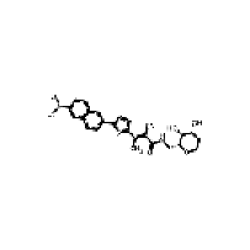 CCN(CC)c1ccc2cc(-c3ccc(/C(C)=C(\C#N)C(=O)NC[C@H]4OCC[C@@H](O)[C@@H]4O)s3)ccc2c1